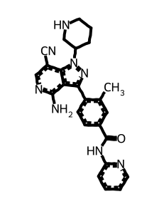 Cc1cc(C(=O)Nc2ccccn2)ccc1-c1nn(C2CCCNC2)c2c(C#N)cnc(N)c12